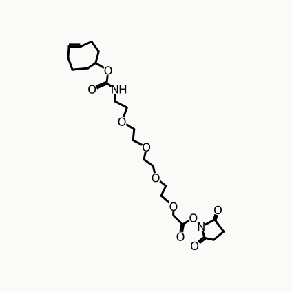 O=C(COCCOCCOCCOCCNC(=O)OC1CC/C=C/CCC1)ON1C(=O)CCC1=O